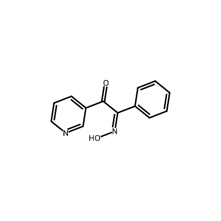 O=C(C(=NO)c1ccccc1)c1cccnc1